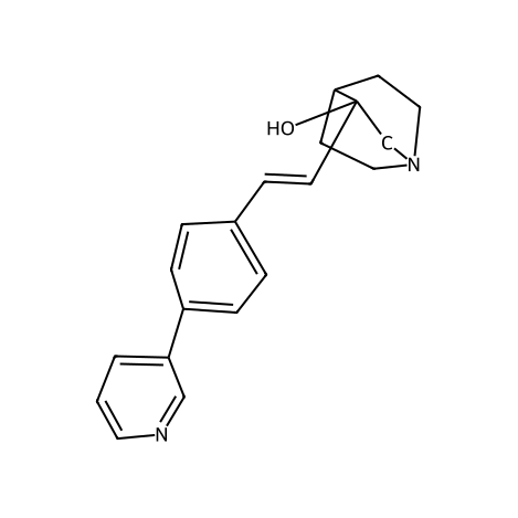 OC1(C=Cc2ccc(-c3cccnc3)cc2)CN2CCC1CC2